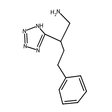 NCC(CCc1ccccc1)c1nnn[nH]1